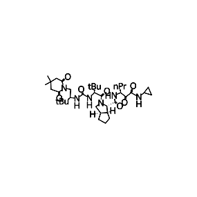 CCC[C@H](NC(=O)[C@@H]1[C@H]2CCC[C@H]2CN1C(=O)[C@@H](NC(=O)N[C@H](CN1C(=O)CC(C)(C)CC1=O)C(C)(C)C)C(C)(C)C)C(=O)C(=O)NC1CC1